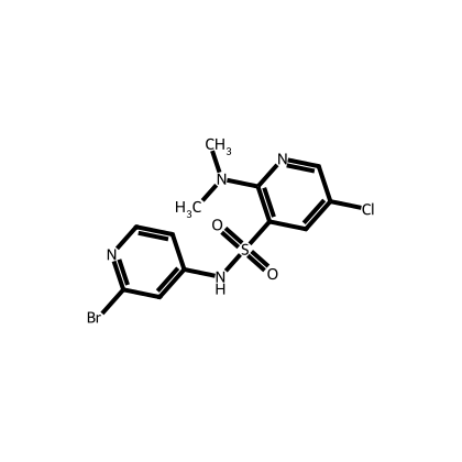 CN(C)c1ncc(Cl)cc1S(=O)(=O)Nc1ccnc(Br)c1